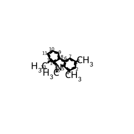 Cc1cc(C)c2c(c1)c1cccc(C)c1n2C